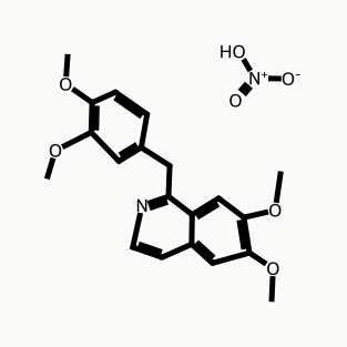 COc1ccc(Cc2nccc3cc(OC)c(OC)cc23)cc1OC.O=[N+]([O-])O